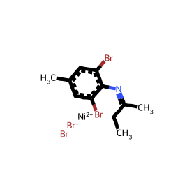 CCC(C)=Nc1c(Br)cc(C)cc1Br.[Br-].[Br-].[Ni+2]